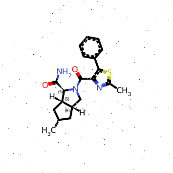 Cc1nc(C(=O)N2C[C@@H]3CC(C)C[C@@H]3[C@H]2C(N)=O)c(-c2ccccc2)s1